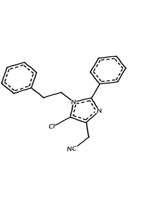 N#CCc1nc(-c2ccccc2)n(CCc2ccccc2)c1Cl